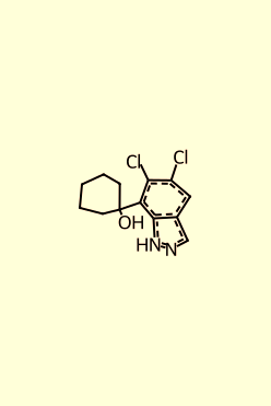 OC1(c2c(Cl)c(Cl)cc3cn[nH]c23)CCCCC1